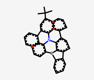 CC(C)(C)c1ccc(N2c3ccccc3B3c4ccccc4-c4ccc(-c5ccccc5)c2c43)c(-c2ccccc2)c1